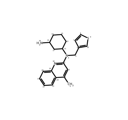 Cc1cc(N(Cc2ccsc2)C2CCCC(N)C2)nc2ccccc12